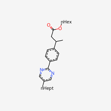 CCCCCCCc1cnc(-c2ccc(C(C)CC(=O)OCCCCCC)cc2)nc1